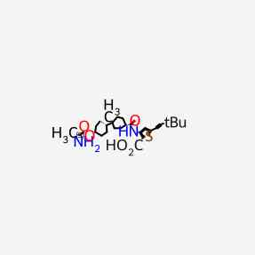 C[C@H](N)C(=O)O[C@H]1CC[C@H]([C@]2(C)CC[C@@H](C(=O)Nc3cc(C#CC(C)(C)C)sc3C(=O)O)CC2)CC1